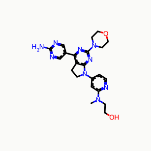 CN(CCO)c1cc(N2CCc3c(-c4cnc(N)nc4)nc(N4CCOCC4)nc32)ccn1